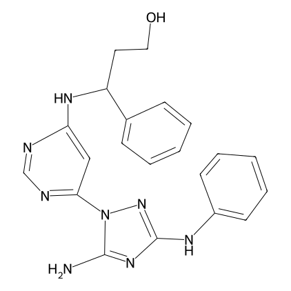 Nc1nc(Nc2ccccc2)nn1-c1cc(NC(CCO)c2ccccc2)ncn1